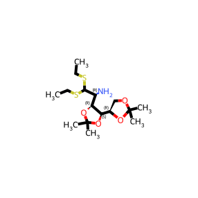 CCSC(SCC)[C@H](N)[C@H]1OC(C)(C)O[C@@H]1[C@H]1COC(C)(C)O1